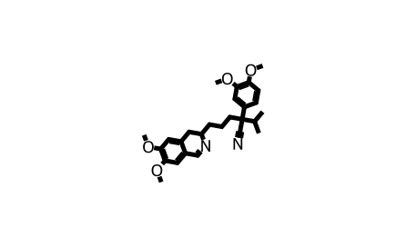 COc1ccc(C(C#N)(CCCC2Cc3cc(OC)c(OC)cc3C=N2)C(C)C)cc1OC